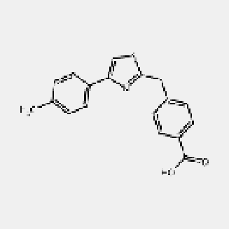 Cc1ccc(-c2csc(Cc3ccc(C(=O)O)cc3)n2)cc1